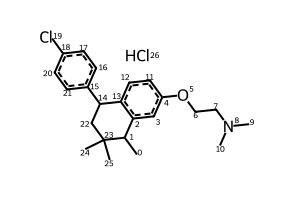 CC1c2cc(OCCN(C)C)ccc2C(c2ccc(Cl)cc2)CC1(C)C.Cl